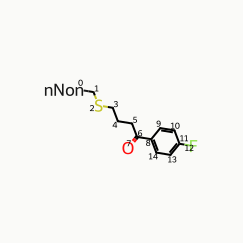 CCCCCCCCCCSCCCC(=O)c1ccc(F)cc1